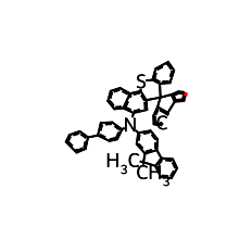 CC1(C)c2ccccc2-c2ccc(N(c3ccc(-c4ccccc4)cc3)c3cc4c(c5ccccc35)Sc3ccccc3C43c4ccccc4-c4ccccc43)cc21